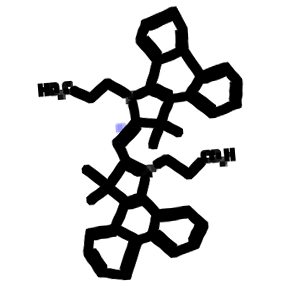 CC1(C)C(/C=C2/N(CCC(=O)O)c3c(c4ccccc4c4ccccc34)C2(C)C)=[N+](CCC(=O)O)c2c1c1ccccc1c1ccccc21